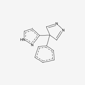 [c]1c[nH]nc1C1(c2ccccc2)C=NN=C1